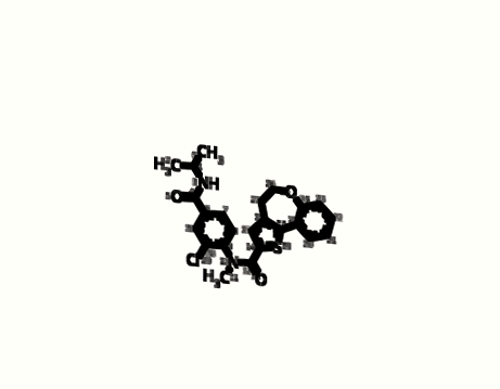 CC(C)NC(=O)c1ccc(N(C)C(=O)c2cc3c(s2)-c2ccccc2OCC3)c(Cl)c1